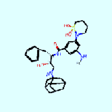 CCNc1cc(C(=O)N[C@@H](Cc2ccccc2)[C@H](O)CNC23CC4CC(CC(C4)C2)C3)cc(N2CCCCS2(O)O)c1